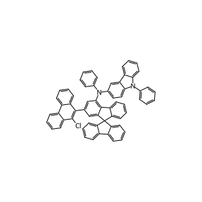 Clc1c(-c2cc(N(c3ccccc3)c3ccc4c(c3)c3ccccc3n4-c3ccccc3)c3c(c2)C2(c4ccccc4-c4ccccc42)c2ccccc2-3)c2ccccc2c2ccccc12